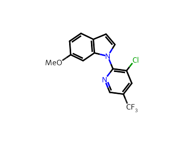 COc1ccc2ccn(-c3ncc(C(F)(F)F)cc3Cl)c2c1